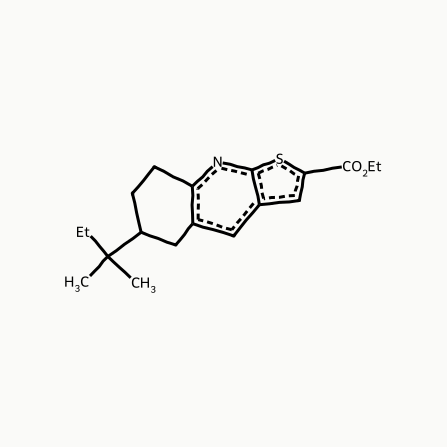 CCOC(=O)c1cc2cc3c(nc2s1)CCC(C(C)(C)CC)C3